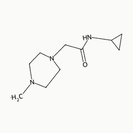 [CH2]N1CCN(CC(=O)NC2CC2)CC1